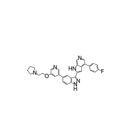 Fc1ccc(-c2cncc3[nH]c(-c4n[nH]c5ccc(-c6cncc(OCCN7CCCC7)c6)cc45)cc23)cc1